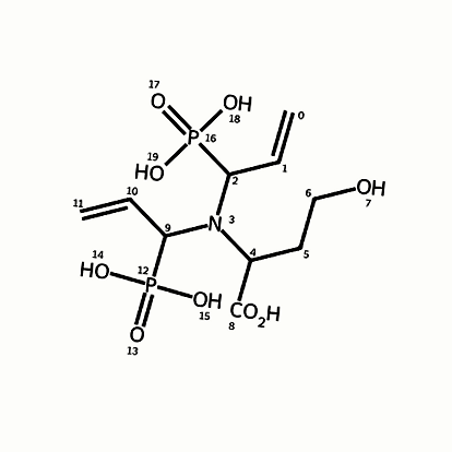 C=CC(N(C(CCO)C(=O)O)C(C=C)P(=O)(O)O)P(=O)(O)O